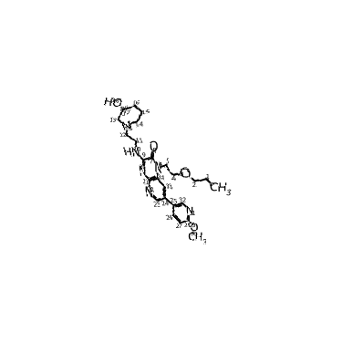 CCCOCCn1c(=O)c(NCCN2CCC[C@@H](O)C2)nc2ncc(-c3ccc(OC)nc3)cc21